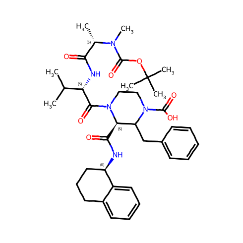 CC(C)[C@H](NC(=O)[C@H](C)N(C)C(=O)OC(C)(C)C)C(=O)N1CCN(C(=O)O)C(Cc2ccccc2)[C@H]1C(=O)N[C@@H]1CCCc2ccccc21